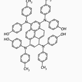 Cc1ccc(N(C2=CC(N(c3ccc(C)cc3)c3ccc(O)cc3)C3=CCc4c(N(c5ccc(C)cc5)c5ccc(O)cc5)cc(N(c5ccc(C)cc5)c5ccc(O)cc5)c5ccc2c3c45)c2ccc(O)cc2)cc1